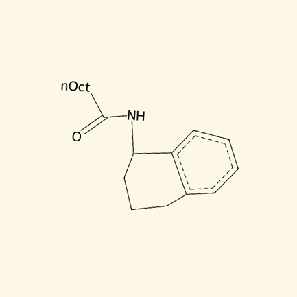 CCCCCCCCC(=O)NC1CCCc2ccccc21